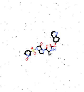 CCCC(NC(=O)Oc1ccc2ncccc2c1)C(=O)N1CCC2C1C(=O)CN2S(=O)(=O)c1ccc[n+]([O-])c1